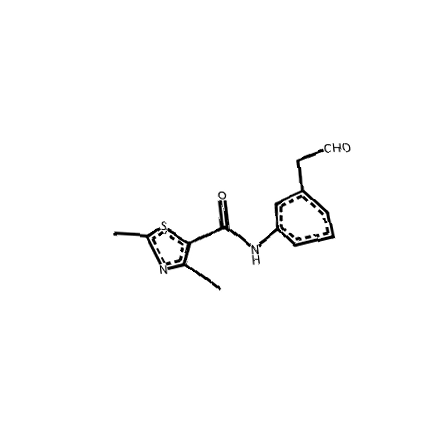 Cc1nc(C)c(C(=O)Nc2cccc(CC=O)c2)s1